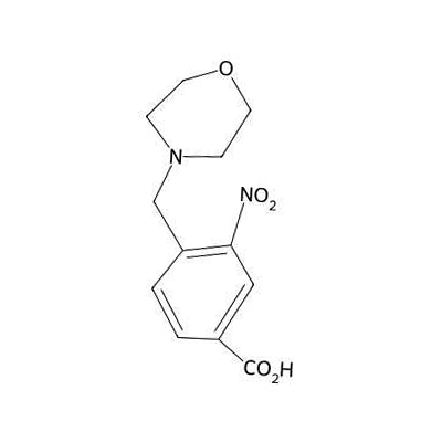 O=C(O)c1ccc(CN2CCOCC2)c([N+](=O)[O-])c1